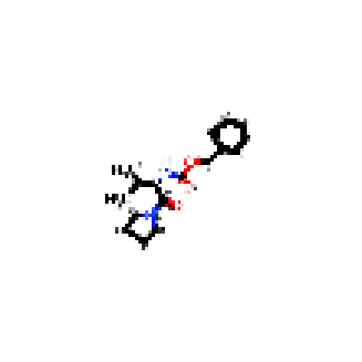 CC(C)[C@H](NC(=O)OCc1ccccc1)C(=O)N1CCCC1